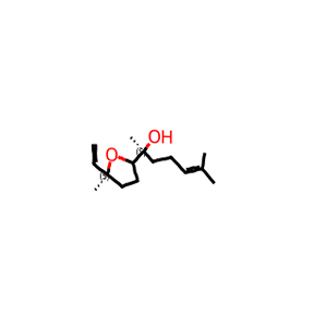 C=C[C@]1(C)CCC([C@@](C)(O)CCC=C(C)C)O1